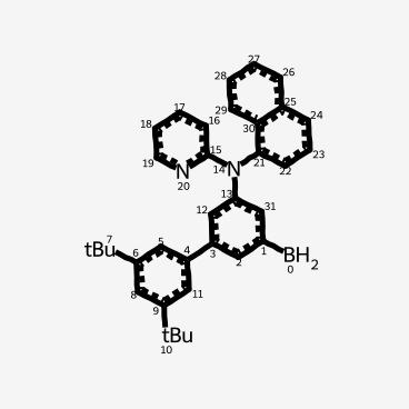 Bc1cc(-c2cc(C(C)(C)C)cc(C(C)(C)C)c2)cc(N(c2ccccn2)c2cccc3ccccc23)c1